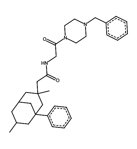 CC1CC2CC(C)(CC(=O)NCC(=O)N3CCN(Cc4ccccc4)CC3)CC(c3ccccc3)(C1)C2